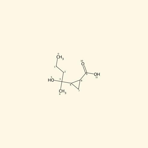 CCCC(C)(O)C1CC1C(=O)O